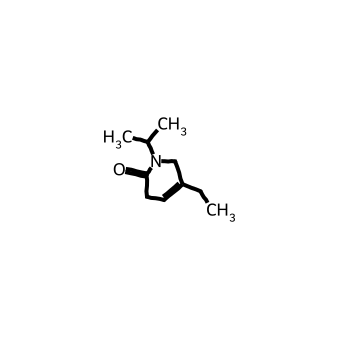 CCC1=CCC(=O)N(C(C)C)C1